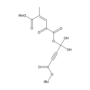 COC(=O)/C(C)=C\C(=O)C(=O)OC(O)(O)C#CC(=O)OC(C)(C)C